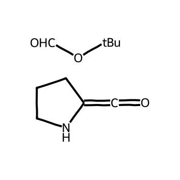 CC(C)(C)OC=O.O=C=C1CCCN1